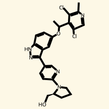 Cc1ncc(Cl)c(C(C)Oc2ccc3[nH]nc(-c4ccc(N5CCC[C@H]5CO)nc4)c3c2)c1Cl